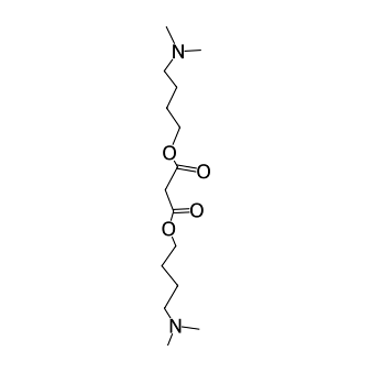 CN(C)CCCCOC(=O)CC(=O)OCCCCN(C)C